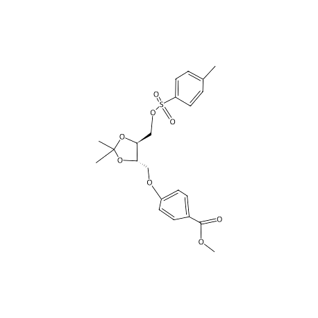 COC(=O)c1ccc(OC[C@@H]2OC(C)(C)O[C@H]2COS(=O)(=O)c2ccc(C)cc2)cc1